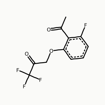 CC(=O)c1c(F)cccc1OCC(=O)C(F)(F)F